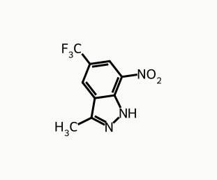 Cc1n[nH]c2c([N+](=O)[O-])cc(C(F)(F)F)cc12